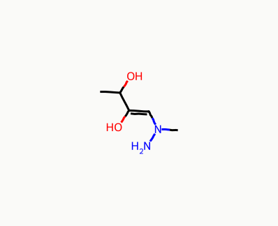 CC(O)/C(O)=C/N(C)N